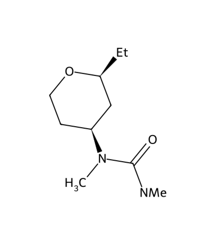 CC[C@H]1C[C@@H](N(C)C(=O)NC)CCO1